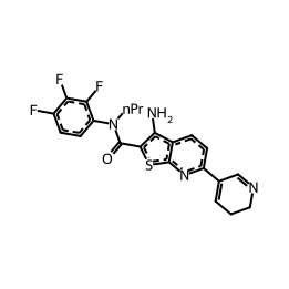 CCCN(C(=O)c1sc2nc(C3=CCCN=C3)ccc2c1N)c1ccc(F)c(F)c1F